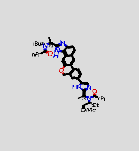 CCCC(=O)N([C@H](CC)COC)[C@@H](C)c1ncc(-c2ccc3c(c2)COc2cc4c(ccc5nc([C@H](C)N(C(=O)CCC)[C@@H](C)CC)[nH]c54)cc2-3)[nH]1